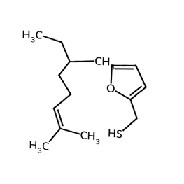 CCC(C)CCC=C(C)C.SCc1ccco1